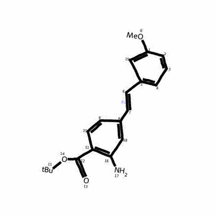 COc1cccc(/C=C/c2ccc(C(=O)OC(C)(C)C)c(N)c2)c1